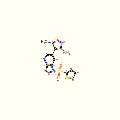 Cc1noc(C)c1-c1cnc2ccn(S(=O)(=O)c3cccs3)c2c1